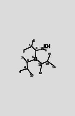 CC(C)C(C)B(C(C)C(C)C)C(C)C(C)C.[KH]